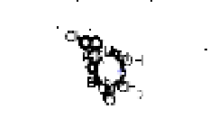 C[C@H]1C/C=C/[C@H](O)[C@@H]2CC[C@H]2CN2C[C@@]3(CCCc4cc(Cl)ccc43)COc3ccc(cc32)C(=O)NS(=O)(=O)[C@H]1C[C@@H]1CCO1